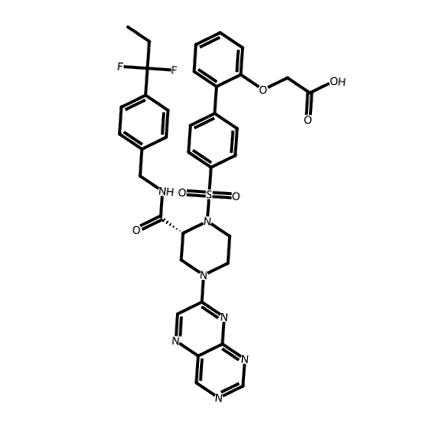 CCC(F)(F)c1ccc(CNC(=O)[C@H]2CN(c3cnc4cncnc4n3)CCN2S(=O)(=O)c2ccc(-c3ccccc3OCC(=O)O)cc2)cc1